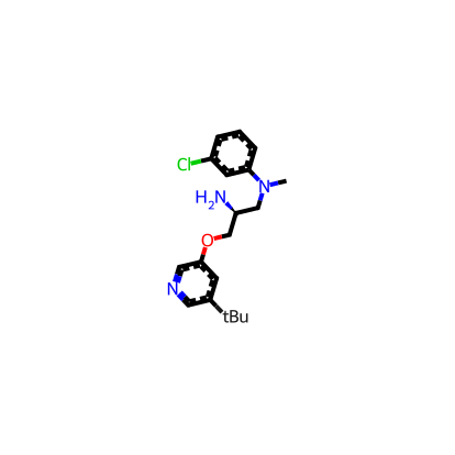 CN(C[C@H](N)COc1cncc(C(C)(C)C)c1)c1cccc(Cl)c1